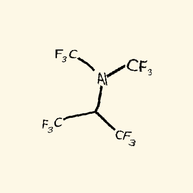 FC(F)(F)[CH]([Al]([C](F)(F)F)[C](F)(F)F)C(F)(F)F